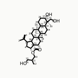 C=C(C)C1CC[C@]2(C(=O)OCC(C)CO)CC[C@]3(C)C(CCC4[C@@]5(C)CC[C@H](O)[C@@](C)(CO)C5CC[C@]43C)C12